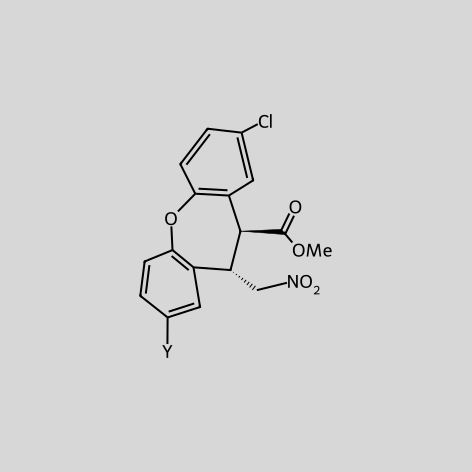 COC(=O)[C@@H]1c2cc(Cl)ccc2Oc2cc[c]([Y])cc2[C@H]1C[N+](=O)[O-]